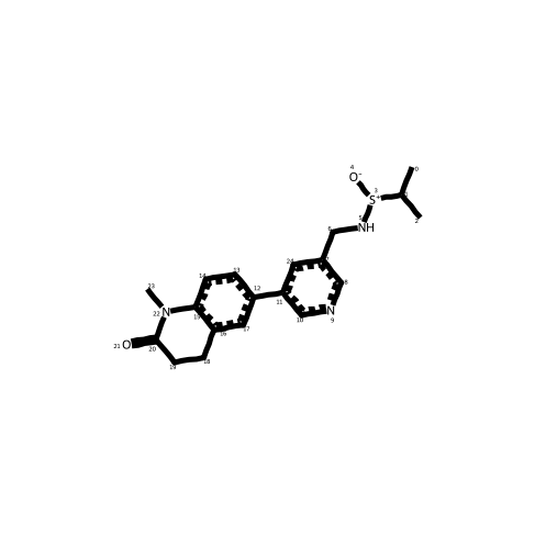 CC(C)[S+]([O-])NCc1cncc(-c2ccc3c(c2)CCC(=O)N3C)c1